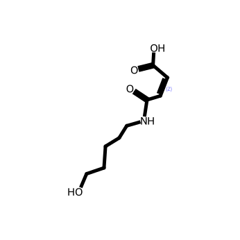 O=C(O)/C=C\C(=O)NCCCCCO